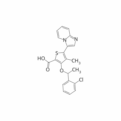 Cc1c(-c2cnc3ccccn23)sc(C(=O)O)c1OC(C)c1ccccc1Cl